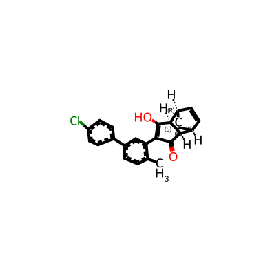 Cc1ccc(-c2ccc(Cl)cc2)cc1C1=C(O)[C@@H]2[C@H](C1=O)[C@@H]1C=C[C@H]2CC1